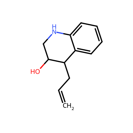 C=CCC1c2ccccc2NCC1O